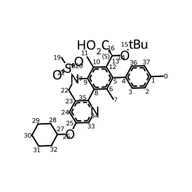 Cc1ccc(-c2c(C)c3c(c(C)c2[C@H](OC(C)(C)C)C(=O)O)N(S(C)(=O)=O)Cc2cc(OC4CCCCC4)cnc2-3)cc1